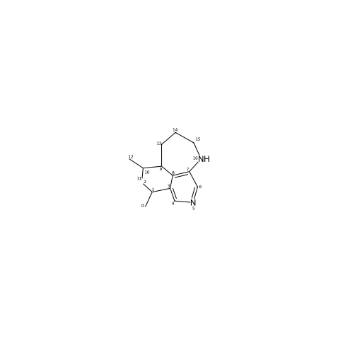 CC(C)c1cncc2c1C(C(C)C)CCCN2